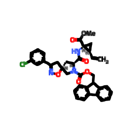 C=C[C@@H]1C[C@]1(NC(=O)[C@@H]1C[C@]2(CC(c3cccc(Cl)c3)=NO2)CN1C(=O)OCC1c2ccccc2-c2ccccc21)C(=O)OC